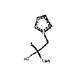 OC(O)(I)Cn1cccn1